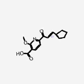 COc1nc(C(=O)/C=C/C2CCCC2)ccc1C(=O)O